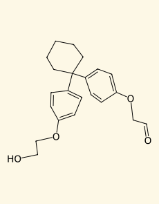 O=CCOc1ccc(C2(c3ccc(OCCO)cc3)CCCCC2)cc1